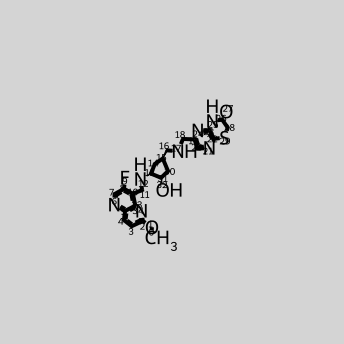 COc1ccc2ncc(F)c(CN[C@@H]3C[C@@H](CNCc4cnc5c(n4)NC(=O)CS5)C[C@@H]3O)c2n1